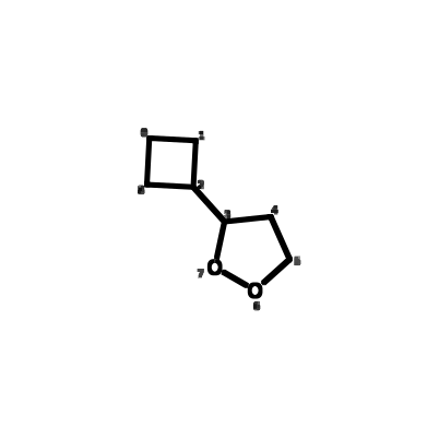 C1CC(C2CCOO2)C1